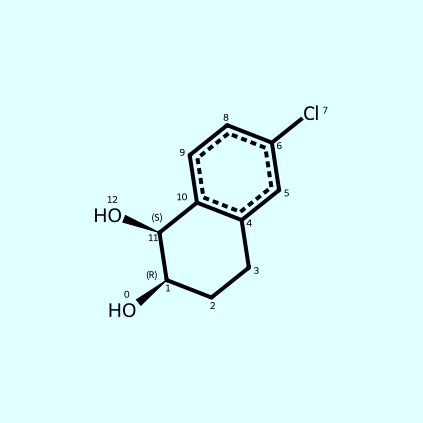 O[C@@H]1CCc2cc(Cl)ccc2[C@@H]1O